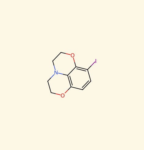 Ic1ccc2c3c1OCCN3CCO2